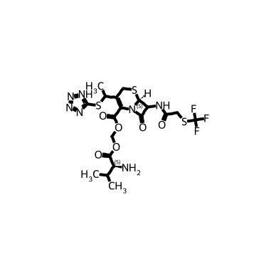 CC(Sc1nnn[nH]1)C1=C(C(=O)OCOC(=O)[C@@H](N)C(C)C)N2C(=O)C(NC(=O)CSC(F)(F)F)[C@@H]2SC1